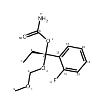 CC[C@@](OCOC)(OC(N)=O)c1ccccc1F